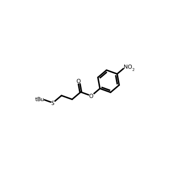 CC(C)(C)SCCC(=O)Oc1ccc([N+](=O)[O-])cc1